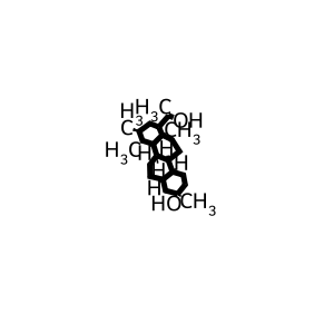 CC(O)C1C[C@H](C)[C@@H](C)[C@H]2[C@@H]3CC[C@@H]4C[C@](C)(O)CC[C@@H]4[C@H]3CC[C@]12C